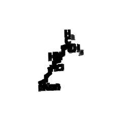 CCCCCCCCCCCCCCCCCNCC=C(C)C.Cl